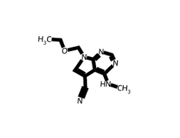 CCOCn1cc(C#N)c2c(NC)ncnc21